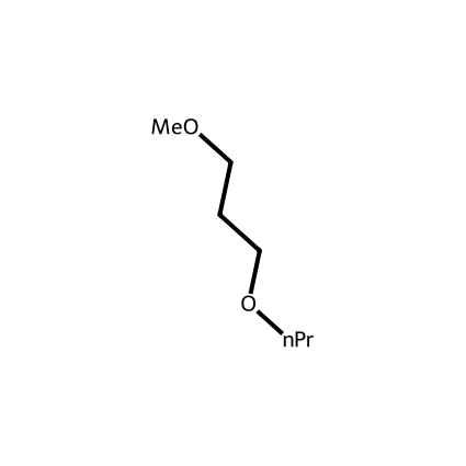 [CH2]OCCCOCCC